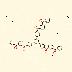 O=C(c1ccccc1)c1cccc(C(=O)c2ccc(-c3cc(-c4ccc(C(=O)c5cccc(C(=O)c6ccccc6)c5)cc4)cc(-c4ccc(C(=O)c5cccc(C(=O)c6ccccc6)c5)cc4)c3)cc2)c1